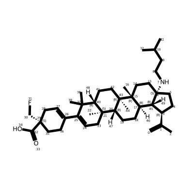 C=C(C)[C@@H]1CC[C@]2(NCCC(C)C)CC[C@]3(C)[C@H](CC[C@@H]4[C@@]5(C)CC=C(C6=CC[C@](CF)(C(=O)O)CC6)C(C)(C)[C@@H]5CC[C@]43C)[C@@H]12